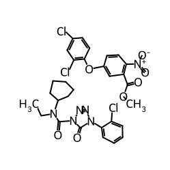 CCN(C(=O)n1nnn(-c2ccccc2Cl)c1=O)C1CCCCC1.COC(=O)c1cc(Oc2ccc(Cl)cc2Cl)ccc1[N+](=O)[O-]